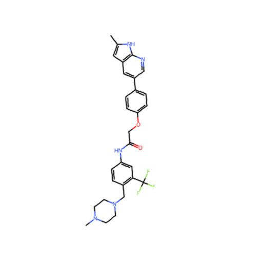 Cc1cc2cc(-c3ccc(OCC(=O)Nc4ccc(CN5CCN(C)CC5)c(C(F)(F)F)c4)cc3)cnc2[nH]1